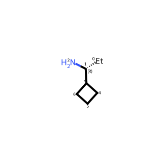 CC[C@@H](N)C1CCC1